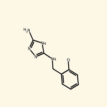 Nc1nnc(NCc2ccccc2Cl)[nH]1